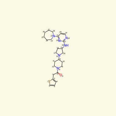 O=C(Cc1cccs1)N1CCC(N2CCC(Nc3nccc(N4CCCCCC4)n3)C2)CC1